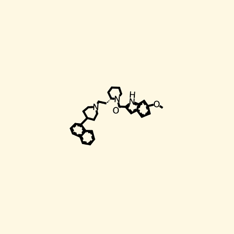 COc1ccc2cc(C(=O)N3CCCC[C@H]3CCN3CCC(c4cccc5ccccc45)CC3)[nH]c2c1